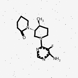 C[C@H]1CCN(c2ncnc(N)c2F)C[C@@H]1N1CCCCC1=O